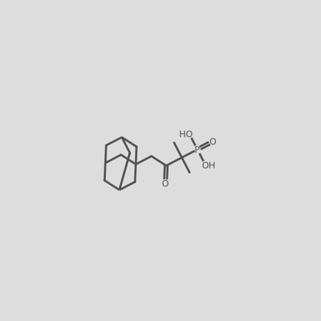 CC(C)(C(=O)CC12CC3CC(CC(C3)C1)C2)P(=O)(O)O